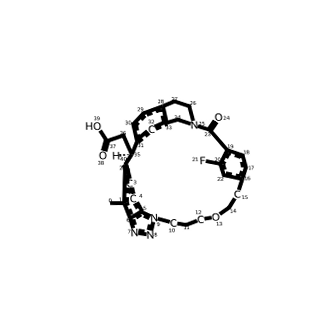 Cc1c2ccc3c1nnn3CCCOCCc1ccc(c(F)c1)C(=O)N1CCc3ccc(cc3C1)[C@@H]2CC(=O)O